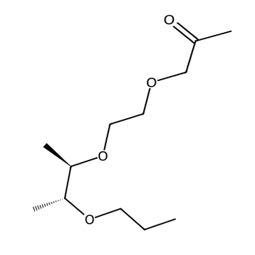 CCCO[C@H](C)[C@@H](C)OCCOCC(C)=O